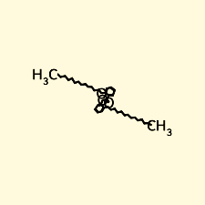 CCCCCCCCCCCCCCOc1ccccc1C(=O)Oc1ccccc1CCCCCCCCCCCCCC